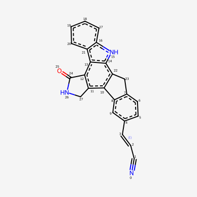 N#C/C=C/c1ccc2c(c1)-c1c3c(c4c([nH]c5ccccc54)c1C2)C(=O)NC3